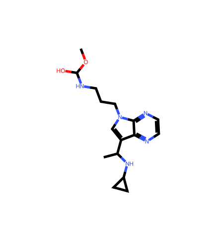 COC(O)NCCCn1cc(C(C)NC2CC2)c2nccnc21